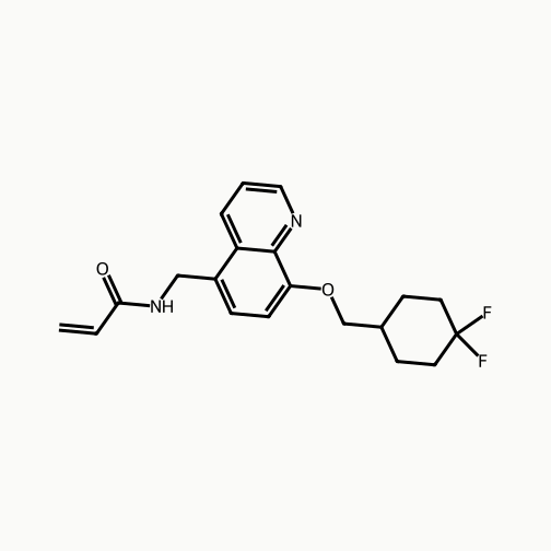 C=CC(=O)NCc1ccc(OCC2CCC(F)(F)CC2)c2ncccc12